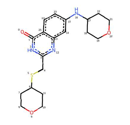 O=c1[nH]c(CSC2CCOCC2)nc2cc(NC3CCOCC3)ccc12